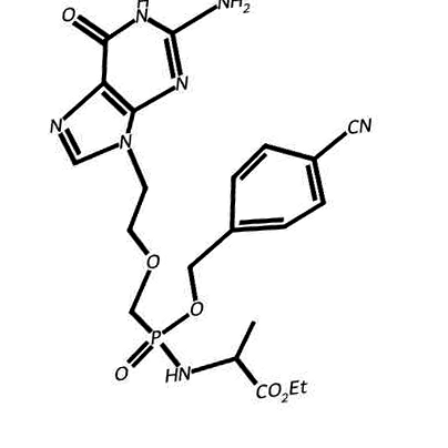 CCOC(=O)C(C)NP(=O)(COCCn1cnc2c(=O)[nH]c(N)nc21)OCc1ccc(C#N)cc1